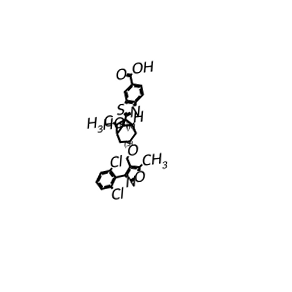 Cc1onc(-c2c(Cl)cccc2Cl)c1CO[C@@H]1CC2C(C)C[C@H](C1)[C@@]2(O)c1nc2ccc(C(=O)O)cc2s1